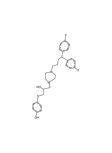 Oc1ccc(SCC(O)CN2CCN(CCCC(c3ccc(F)cc3)c3ccc(F)cc3)CC2)cc1